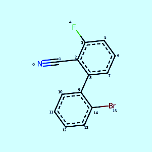 N#Cc1c(F)cccc1-c1ccccc1Br